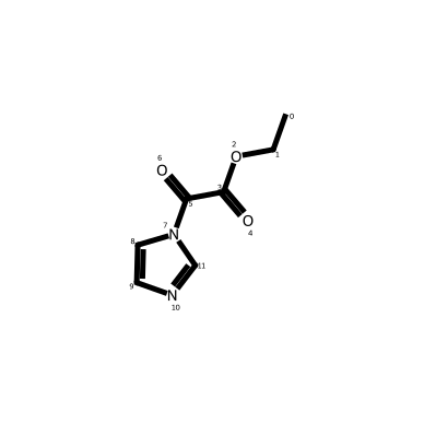 CCOC(=O)C(=O)n1ccnc1